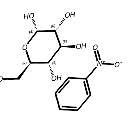 O=[N+]([O-])c1ccccc1.OC[C@H]1O[C@H](O)[C@H](O)[C@@H](O)[C@@H]1O